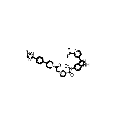 CCN(C(=O)[C@@H]1CCN(CC(=O)N2CC=C(c3ccc(-c4ncn(C)n4)cc3)CC2)C1)c1ccc2[nH]nc(-c3ccnc(C(F)F)c3)c2c1